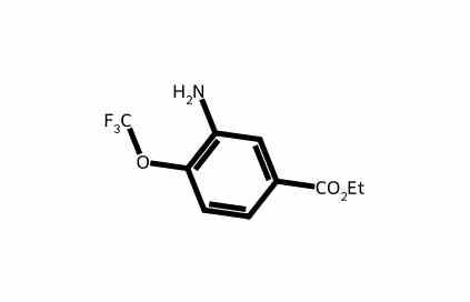 CCOC(=O)c1ccc(OC(F)(F)F)c(N)c1